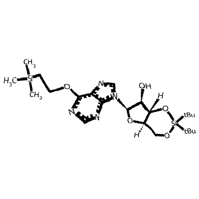 CC(C)(C)[Si]1(C(C)(C)C)OC[C@H]2O[C@@H](n3cnc4c(OCC[Si](C)(C)C)ncnc43)[C@@H](O)[C@@H]2O1